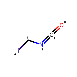 O=C=NCI